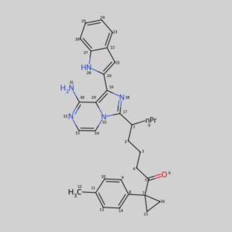 CCCC(CCCC(=O)C1(c2ccc(C)cc2)CC1)c1nc(-c2cc3ccccc3[nH]2)c2c(N)nccn12